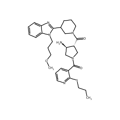 CCCSc1ncccc1C(=O)N1C[C@@H](N)[C@H](C(=O)N2CCCC(c3nc4ccccc4n3CCCOC)C2)C1